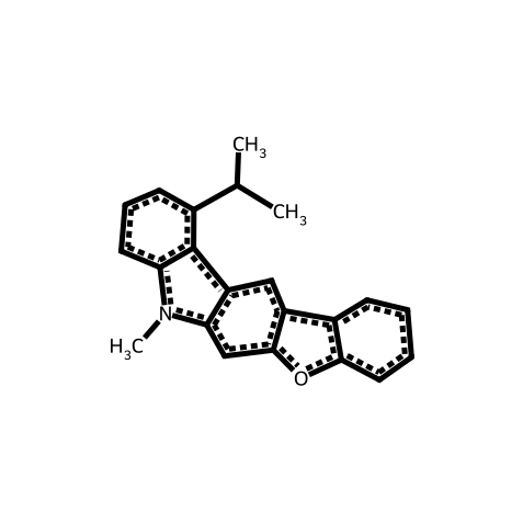 CC(C)c1cccc2c1c1cc3c(cc1n2C)oc1ccccc13